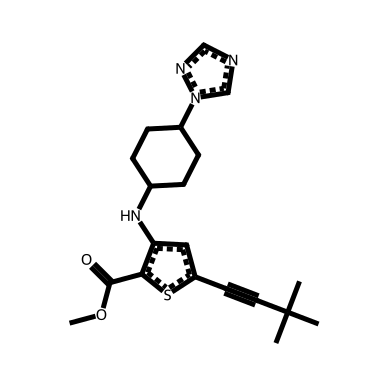 COC(=O)c1sc(C#CC(C)(C)C)cc1NC1CCC(n2cncn2)CC1